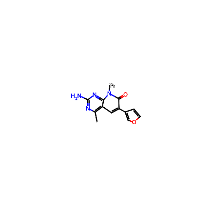 Cc1nc(N)nc2c1cc(-c1ccoc1)c(=O)n2C(C)C